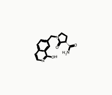 NC(=O)[C@H]1CCN(Cc2ccc3ccnc(O)c3c2)C1=O